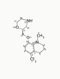 CN1CCCc2c(C(F)(F)F)ccc(OC[C@@H]3CNCCO3)c21